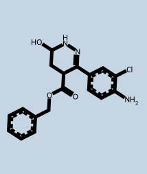 Nc1ccc(C2=NNC(O)CC2C(=O)OCc2ccccc2)cc1Cl